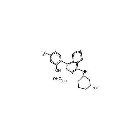 O=CO.Oc1cc(C(F)(F)F)ccc1-c1nnc(N[C@@H]2CCC[C@@H](O)C2)c2cnccc12